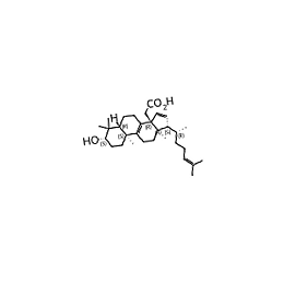 CC(C)=CCC[C@@H](C)[C@H]1C=C[C@@]2(CC(=O)O)C3=C(CC[C@]12C)[C@@]1(C)CC[C@H](O)C(C)(C)[C@@H]1CC3